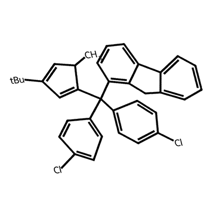 CC1C=C(C(C)(C)C)C=C1C(c1ccc(Cl)cc1)(c1ccc(Cl)cc1)c1cccc2c1Cc1ccccc1-2